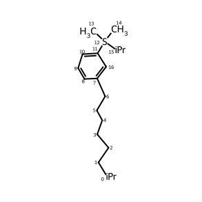 CC(C)CCCCCCc1cccc(S(C)(C)C(C)C)c1